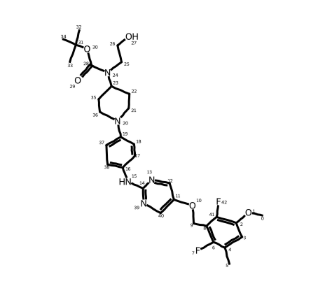 COc1cc(C)c(F)c(COc2cnc(Nc3ccc(N4CCC(N(CCO)C(=O)OC(C)(C)C)CC4)cc3)nc2)c1F